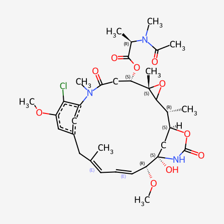 COc1cc2cc(c1Cl)N(C)C(=O)C[C@H](OC(=O)[C@@H](C)N(C)C(C)=O)[C@]1(C)OC1[C@H](C)[C@@H]1C[C@@](O)(NC(=O)O1)[C@H](OC)/C=C/C=C(\C)C2